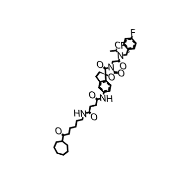 C[C@H](N(Cc1ccc(F)cc1)C(=O)CN1C(=O)O[C@@]2(CCc3cc(NC(=O)CCC(=O)NCCCCCC(=O)C4CCCCCC4)ccc32)C1=O)C(F)(F)F